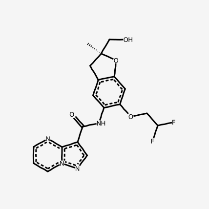 C[C@@]1(CO)Cc2cc(NC(=O)c3cnn4cccnc34)c(OCC(F)F)cc2O1